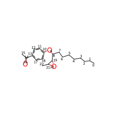 CCCCCCCCC(Oc1ccc(C(C)=O)cc1)C1OC1C